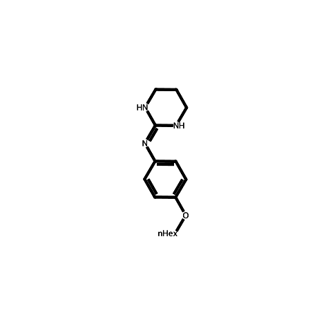 CCCCCCOc1ccc(N=C2NCCCN2)cc1